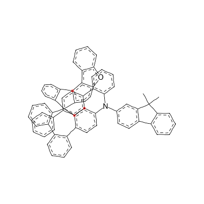 CC1(C)c2ccccc2-c2ccc(N(c3ccc4c(c3)C3(c5ccccc5-c5ccccc5-4)c4ccccc4-c4c3ccc3oc5ccccc5c43)c3ccccc3-c3ccc(-c4ccccc4)cc3)cc21